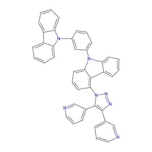 c1cncc(-c2nnn(-c3cccc4c3c3ccccc3n4-c3cccc(-n4c5ccccc5c5ccccc54)c3)c2-c2cccnc2)c1